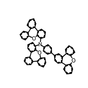 c1ccc2c(c1)Oc1ccccc1-c1cc(-c3ccc(N(c4cccc5c4Oc4ccccc4-c4ccccc4-5)c4cccc5c4Oc4ccccc4-c4ccccc4-5)cc3)ccc1-2